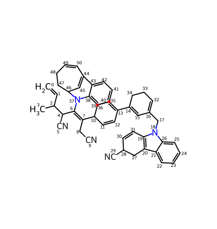 C=CC(C)C(C#N)/C(=C(\CC#N)C1C=CC(C2=CC(Cn3c4c(c5ccccc53)CC(C#N)C=C4)=CCC2)=CC1)N1c2ccccc2C2=CC1CCC=C2